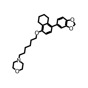 c1cc2c(cc1-c1ccc(OCCCCCCN3CCOCC3)c3c1CCCC3)OCO2